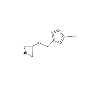 Clc1csc(COC2CNC2)c1